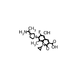 Cc1c(N2CC[C@@H]([C@H](C)N)C2)c(F)cc2cc(C(=O)O)c(=O)n(C3CC3)c12.Cl